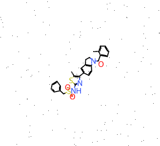 Cc1ccccc1C(=O)N1CCc2cc(-c3nc(NS(=O)(=O)Cc4ccccc4)sc3C)ccc21